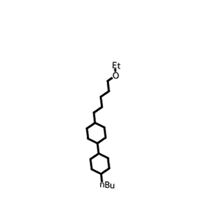 CCCCC1CCC(C2CCC(CCCCCOCC)CC2)CC1